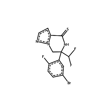 Fc1ccc(Br)cc1C1(C(F)F)Cn2nccc2C(=S)N1